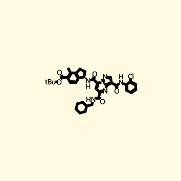 Cc1c(C(=O)OC(C)(C)C)ccc2c1CC[C@@H]2NC(=O)c1cc(C(=O)NCC2CCCCC2)nc2c(C(=O)Nc3ccccc3Cl)cnn12